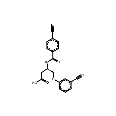 N#Cc1ccc(C(=O)N[C@@H](COc2cccc(C#N)c2)CC(=O)O)cc1